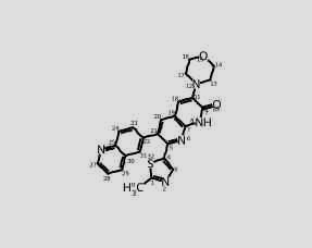 Cc1ncc(-c2nc3[nH]c(=O)c(N4CCOCC4)cc3cc2-c2ccc3ncccc3c2)s1